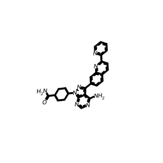 NC(=O)C1CCC(n2nc(-c3ccc4ccc(-c5ccccn5)nc4c3)c3c(N)ncnc32)CC1